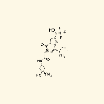 CC(C)c1nn(CC(=O)N[C@H]2C[C@@](C)(O)C2)c(=O)c2cc(C(O)C(F)(F)F)nn12